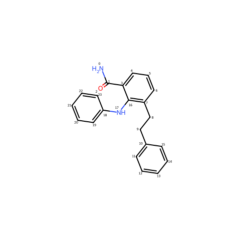 NC(=O)c1cccc(CCc2ccccc2)c1Nc1ccccc1